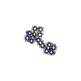 c1ccc(S2(c3ccccc3)c3ccccc3-c3cc4c(cc32)N(c2ccc3cc5cc(N6c7ccccc7C(c7cccnc7)(c7cccnc7)c7ccccc76)ccc5cc3c2)c2ccccc2C4(c2cccnc2)c2cccnc2)cc1